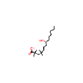 CCCCCCC(O)CCCC(C)(C)CC(C)(C)C(=O)O